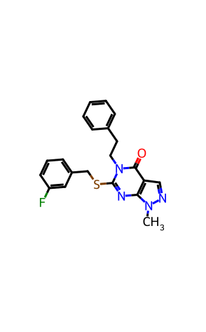 Cn1ncc2c(=O)n(CCc3ccccc3)c(SCc3cccc(F)c3)nc21